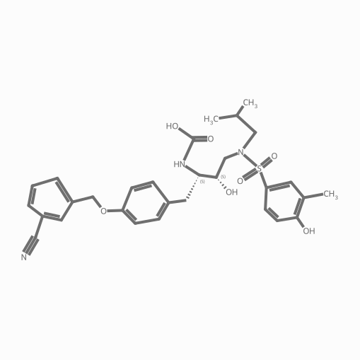 Cc1cc(S(=O)(=O)N(CC(C)C)C[C@H](O)[C@H](Cc2ccc(OCc3cccc(C#N)c3)cc2)NC(=O)O)ccc1O